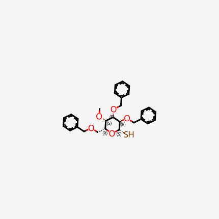 CO[C@@H]1[C@H](OCc2ccccc2)[C@@H](OCc2ccccc2)[C@H](S)O[C@@H]1COCc1ccccc1